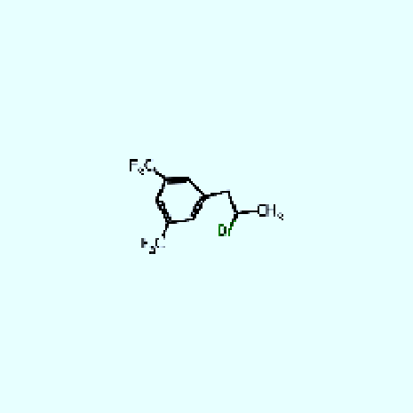 CC(Br)Cc1cc(C(F)(F)F)cc(C(F)(F)F)c1